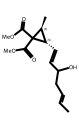 CC=CCC(O)C=C[C@H]1[C@H](C)C1(C(=O)OC)C(=O)OC